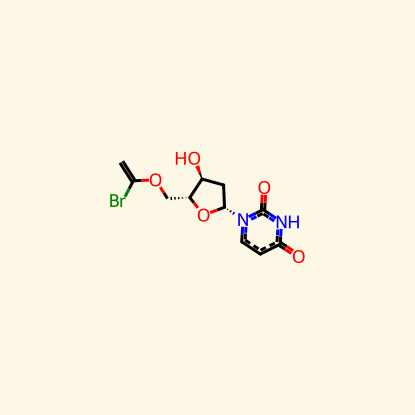 C=C(Br)OC[C@H]1O[C@@H](n2ccc(=O)[nH]c2=O)C[C@@H]1O